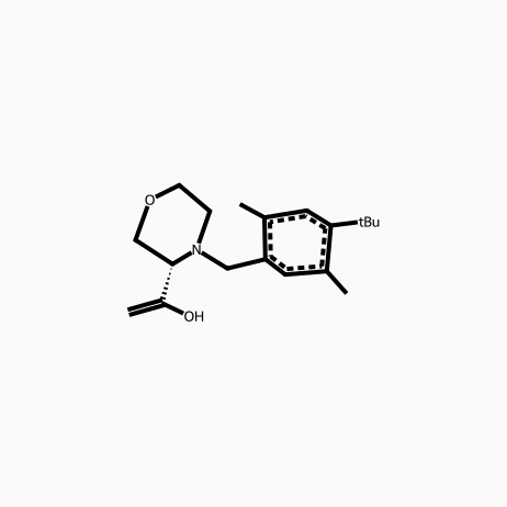 C=C(O)[C@@H]1COCCN1Cc1cc(C)c(C(C)(C)C)cc1C